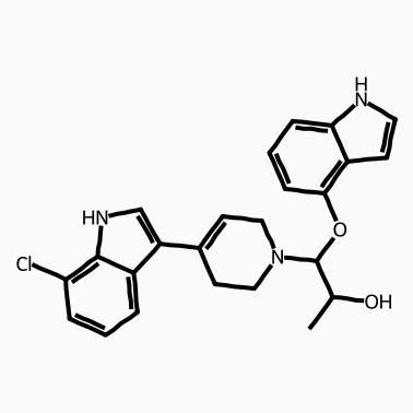 CC(O)C(Oc1cccc2[nH]ccc12)N1CC=C(c2c[nH]c3c(Cl)cccc23)CC1